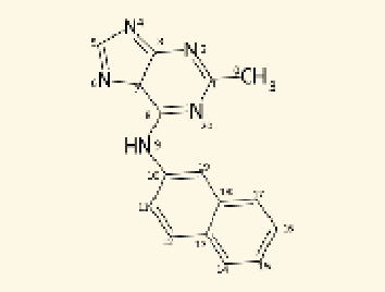 CC1=NC2=NC=NC2C(Nc2ccc3ccccc3c2)=N1